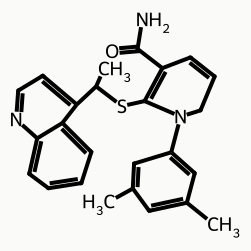 Cc1cc(C)cc(N2CC=CC(C(N)=O)=C2SC(C)c2ccnc3ccccc23)c1